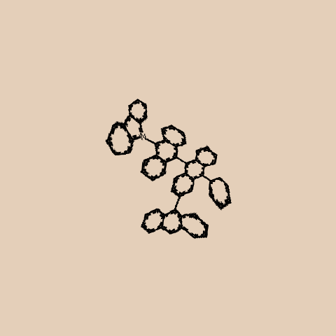 c1ccc(-c2c3ccccc3c(-c3c4ccccc4c(-n4c5ccccc5c5ccccc54)c4ccccc34)c3ccc(-c4c5ccccc5cc5ccccc45)cc23)cc1